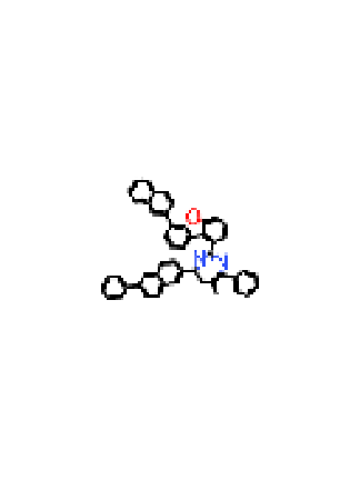 CC1=C(c2ccccc2)N=C(c2cccc3oc4c(-c5ccc6ccccc6c5)cccc4c23)N=C(c2ccc3cc(-c4ccccc4)ccc3c2)C1